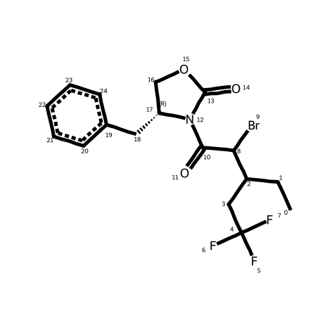 CCC(CC(F)(F)F)C(Br)C(=O)N1C(=O)OC[C@H]1Cc1ccccc1